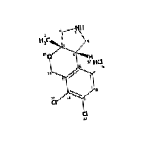 C[C@@]12CNC[C@@H]1c1ccc(Cl)c(Cl)c1CO2.Cl